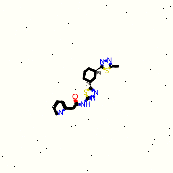 Cc1nnc([C@@H]2CCC[C@@H](c3nnc(NC(=O)Cc4ccccn4)s3)C2)s1